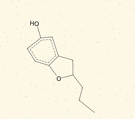 CCCC1Cc2cc(O)ccc2O1